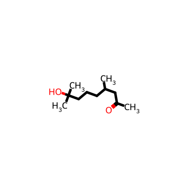 CC(=O)CC(C)CCCC(C)(C)O